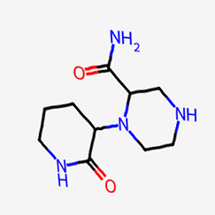 NC(=O)C1CNCCN1C1CCCNC1=O